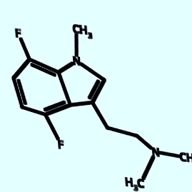 CN(C)CCc1cn(C)c2c(F)ccc(F)c12